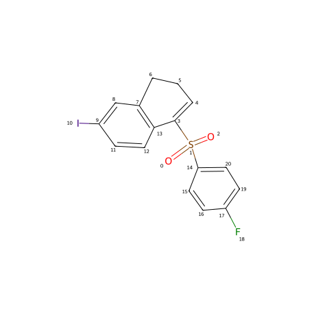 O=S(=O)(C1=CCCc2cc(I)ccc21)c1ccc(F)cc1